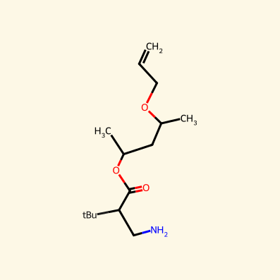 C=CCOC(C)CC(C)OC(=O)C(CN)C(C)(C)C